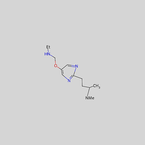 CCNCOc1cnc(CCC(C)NC)nc1